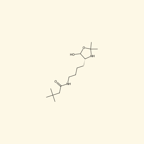 CC(C)(C)CC(=O)NCCCC[C@H]1NC(C)(C)OC1O